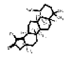 CNC1CCC(C)(C)[C@@H]2CC[C@]3(C)[C@H](CC[C@@H]4C5=C(C(C)C)C(=O)C[C@]5(C)CC[C@]43C)[C@@]12C